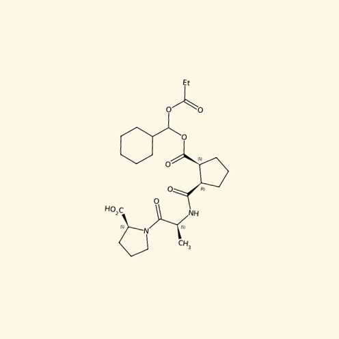 CCC(=O)OC(OC(=O)[C@H]1CCC[C@H]1C(=O)N[C@@H](C)C(=O)N1CCC[C@H]1C(=O)O)C1CCCCC1